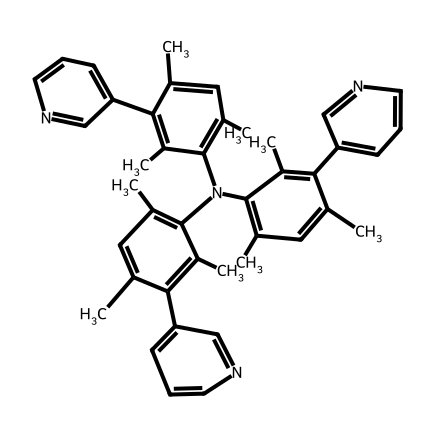 Cc1cc(C)c(N(c2c(C)cc(C)c(-c3cccnc3)c2C)c2c(C)cc(C)c(-c3cccnc3)c2C)c(C)c1-c1cccnc1